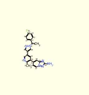 Cc1ncc(-c2cnn(C(C)c3ccc(F)cc3)c2)cc1-c1ccn2nc(N)nc2c1